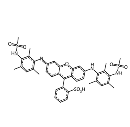 Cc1cc(C)c(NS(C)(=O)=O)c(C)c1/N=c1\ccc2c(-c3ccccc3S(=O)(=O)O)c3ccc(Nc4c(C)cc(C)c(NS(C)(=O)=O)c4C)cc3oc-2c1